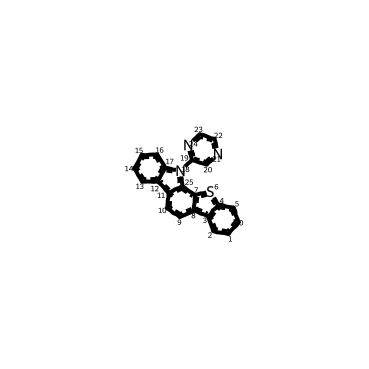 c1ccc2c(c1)sc1c2ccc2c3ccccc3n(-c3cnccn3)c21